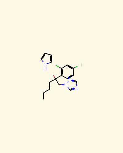 CCCCC(O)(Cn1cncn1)c1ccc(Cl)cc1Cl.c1cc[nH]c1